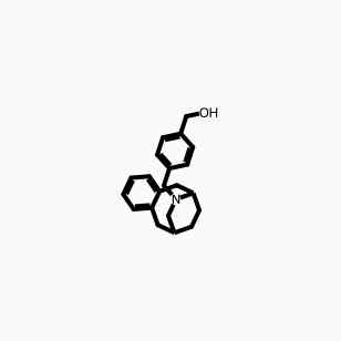 OCc1ccc(CN2CC3CCC2Cc2ccccc2C3)cc1